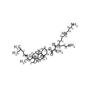 CC(C)CCC[C@@H](C)[C@H]1CC[C@H]2[C@@H]3CC=C4C[C@@H](OC(=O)C(C)C(=O)N(CCCN)CCCCNCCCN)CC[C@]4(C)[C@H]3CC[C@]12C